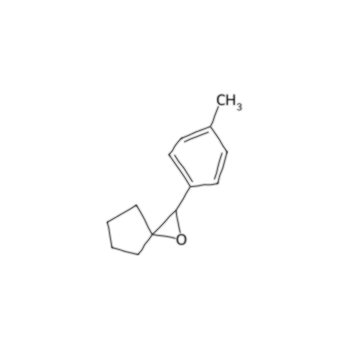 Cc1ccc(C2OC23CCCC3)cc1